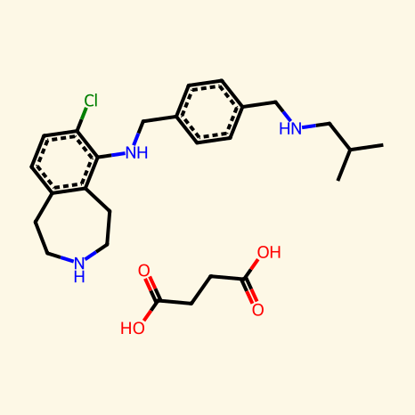 CC(C)CNCc1ccc(CNc2c(Cl)ccc3c2CCNCC3)cc1.O=C(O)CCC(=O)O